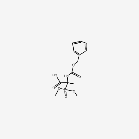 COP(=O)(OC)C(C)(NC(=O)OCc1ccccc1)C(=O)O